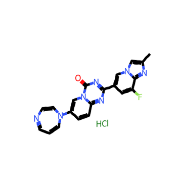 Cc1cn2cc(-c3nc(=O)n4cc(N5C=CC=NC=C5)ccc4n3)cc(F)c2n1.Cl